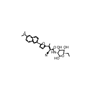 CC[C@H]1OC(O)[C@H](NC(=O)/C(C#N)=C(\C)c2ccc(-c3ccc4cc(N(C)C)ccc4c3)o2)[C@@H](O)[C@@H]1O